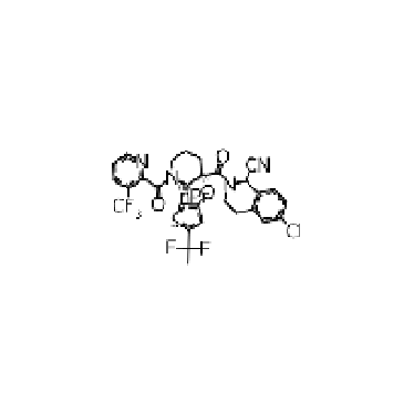 CCC[C@H]1N(C(=O)c2ncccc2C(F)(F)F)CCC[C@@]1(Oc1csc(C(C)(F)F)c1)C(=O)N1CCc2cc(Cl)ccc2C1C#N